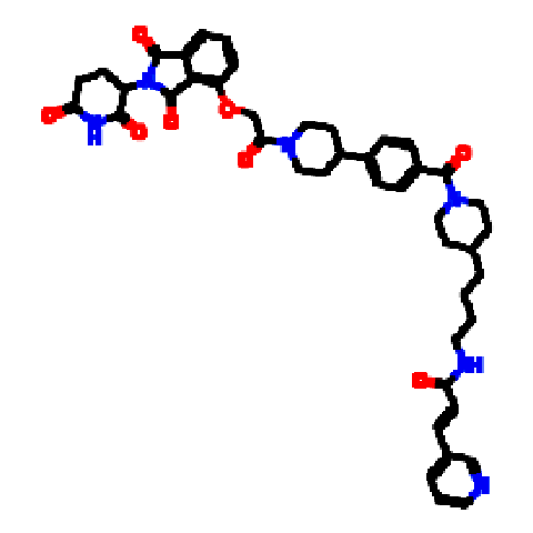 O=C(/C=C/c1cccnc1)NCCCCC1CCN(C(=O)c2ccc(C3CCN(C(=O)COc4cccc5c4C(=O)N(C4CCC(=O)NC4=O)C5=O)CC3)cc2)CC1